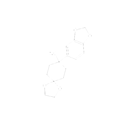 N#CC1(c2ccc3c(c2)OCO3)CCC2(CC1)OCCO2